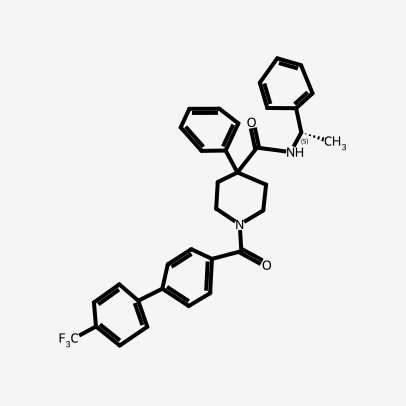 C[C@H](NC(=O)C1(c2ccccc2)CCN(C(=O)c2ccc(-c3ccc(C(F)(F)F)cc3)cc2)CC1)c1ccccc1